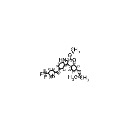 CCOC(=O)c1[nH]c2ccc(Oc3ccc(C(F)(F)F)cn3)cc2c1-c1ccc(OC(C)C)cc1